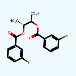 O=C(O[C@H](C(=O)O)[C@H](OC(=O)c1cccc(Br)c1)C(=O)O)c1cccc(Br)c1